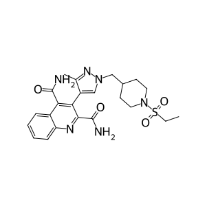 CCS(=O)(=O)N1CCC(Cn2cc(-c3c(C(N)=O)nc4ccccc4c3C(N)=O)c(C)n2)CC1